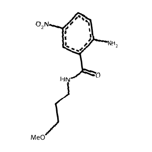 COCCCNC(=O)c1cc([N+](=O)[O-])ccc1N